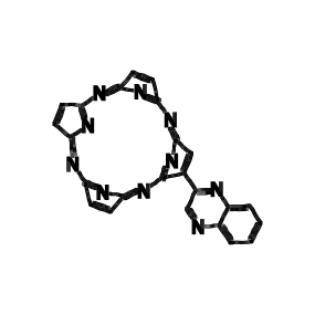 C1=CC2=NC3=NC(=NC4=NC(=NC5=NC(=NC1=N2)C=C5)C=C4c1cnc2ccccc2n1)C=C3